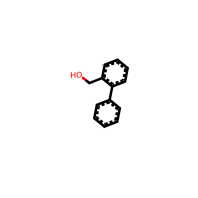 OCc1[c]cccc1-c1ccccc1